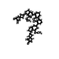 COc1nc(-c2cccc(-c3cccc(-c4cc5c(c(OC)n4)[C@@H](N4CC6(CNC(=O)C6)C4)CC5)c3Cl)c2Cl)cc2c1[C@H](N1CC3(CCC(=O)N3)C1)CC2